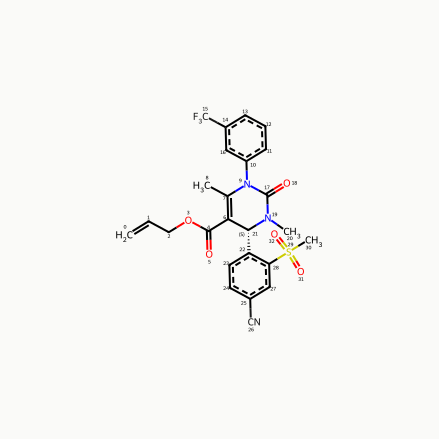 C=CCOC(=O)C1=C(C)N(c2cccc(C(F)(F)F)c2)C(=O)N(C)[C@@H]1c1ccc(C#N)cc1S(C)(=O)=O